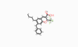 CCCCc1cc2c(cc1Cc1ccccc1)OC(C(F)(F)F)C(C(=O)O)=C2